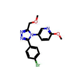 COCc1nnc(-c2ccc(Br)cc2)n1-c1ccc(OC)nc1